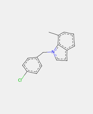 Cc1cccc2ccn(Cc3ccc(Cl)cc3)c12